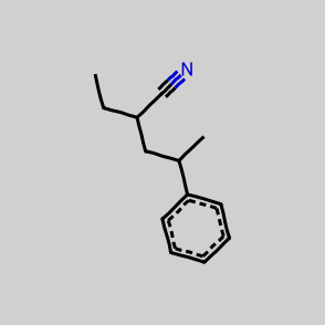 CCC(C#N)CC(C)c1ccccc1